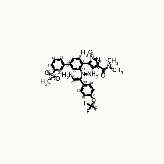 CN(C)C(=O)c1cc(-c2ccc(-c3cccc(S(C)(=O)=O)c3)cc2N(N)/C(=C\N)c2ccc(OC(F)(F)F)cc2)n(C)n1